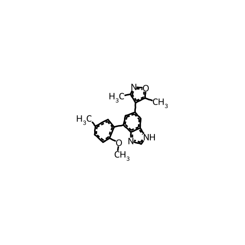 COc1ccc(C)cc1-c1cc(-c2c(C)noc2C)cc2[nH]cnc12